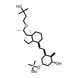 C=C1/C(=C/C=C2\CCC[C@@]3(C)C2CC[C@@H]3[C@H](C)OCCC(C)(C)O)C[C@@H](O[Si](C)(C)C(C)(C)C)C[C@@H]1O